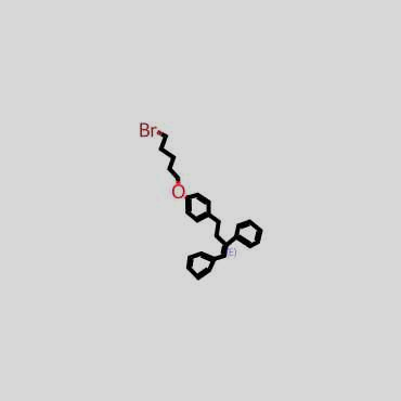 BrCCCCCOc1ccc(CC/C(=C\c2ccccc2)c2ccccc2)cc1